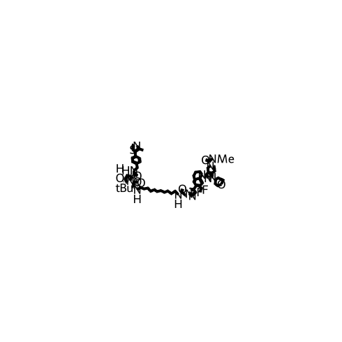 CNC(=O)N1CCc2c(c(N3CCCc4cc(-c5cnn(CC(=O)NCCCCCCCCCCC(=O)N[C@H](C(=O)N6C[C@H](O)C[C@H]6C(=O)NCc6ccc(-c7scnc7C)cc6)C(C)(C)C)c5)c(C(F)F)cc43)nn2C2CCOCC2)C1